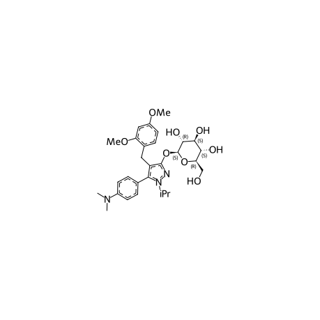 COc1ccc(Cc2c(O[C@@H]3O[C@H](CO)[C@@H](O)[C@H](O)[C@H]3O)nn(C(C)C)c2-c2ccc(N(C)C)cc2)c(OC)c1